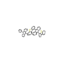 C1=C=C(c2c3ccccc3c(-c3cccc4c3sc3cccc(-c5c6ccccc6c(-c6cccc7c8c(sc67)CCC=C8)c6ccccc56)c34)c3ccccc23)C=CC=1